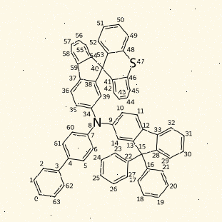 c1ccc(-c2ccc(N(c3ccc4c(c3)C(c3ccccc3)(c3ccccc3)c3ccccc3-4)c3ccc4c(c3)C3(c5ccccc5Sc5ccccc53)c3ccccc3-4)cc2)cc1